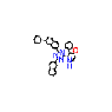 C1=Cc2oc3ccccc3c2C(C2=NC(c3ccc4ccc(-c5ccccc5)cc4c3)=NC(c3ccc4ccccc4c3)N2)N1